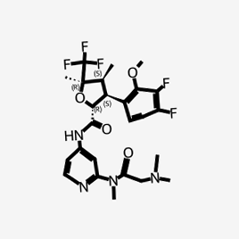 COc1c([C@H]2[C@H](C(=O)Nc3ccnc(N(C)C(=O)CN(C)C)c3)O[C@@](C)(C(F)(F)F)[C@H]2C)ccc(F)c1F